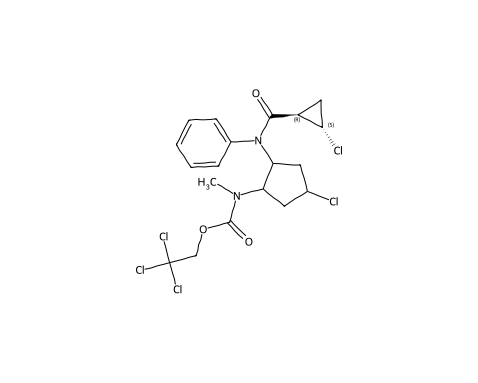 CN(C(=O)OCC(Cl)(Cl)Cl)C1CC(Cl)CC1N(C(=O)[C@H]1C[C@@H]1Cl)c1ccccc1